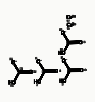 O=C([O-])O.O=C([O-])O.O=C([O-])O.O=C([O-])O.[Ca+2].[Ca+2]